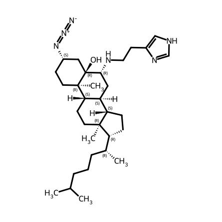 CC(C)CCC[C@@H](C)[C@H]1CC[C@H]2[C@@H]3C[C@@H](NCCc4c[nH]cn4)[C@@]4(O)C[C@@H](N=[N+]=[N-])CC[C@]4(C)[C@H]3CC[C@]12C